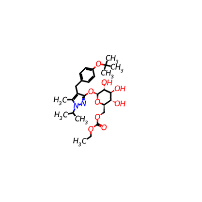 CCOC(=O)OC[C@H]1O[C@@H](Oc2nn(C(C)C)c(C)c2Cc2ccc(OC(C)(C)C)cc2)[C@H](O)[C@@H](O)[C@@H]1O